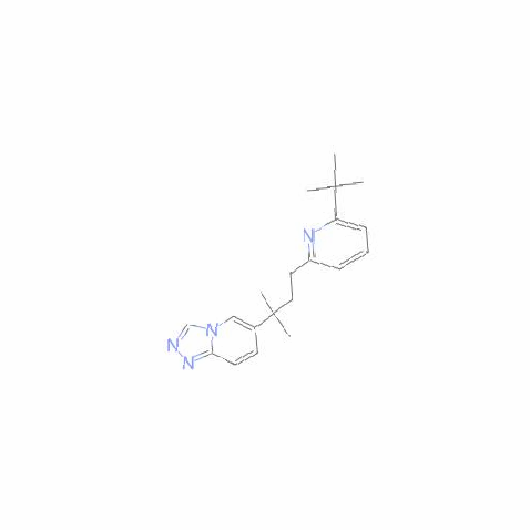 CC(C)(C)c1cccc(CCC(C)(C)c2ccc3nncn3c2)n1